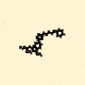 CN(C)Cc1cn(C)c2ccc(-c3nnc(CSCCOc4ccccc4)o3)cc12